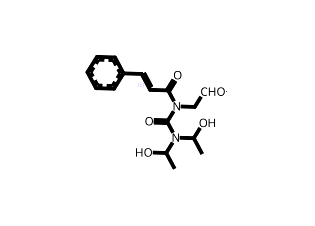 CC(O)N(C(=O)N(C[C]=O)C(=O)/C=C/c1ccccc1)C(C)O